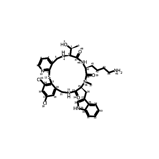 C[C@H](O)[C@@H]1NCc2cccnc2Sc2c(Cl)cc(Cl)cc2CNC(=O)[C@H](Cc2c[nH]c3ccccc23)N(C)C(=O)[C@H](CCCCN)NC1=O